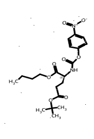 CCCCOC(=O)[C@H](CCC(=O)OC(C)(C)C)NC(=O)Oc1ccc([N+](=O)[O-])cc1